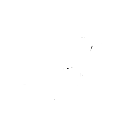 COc1ccc(C(=O)N2c3ccccc3[C@H](C(=O)O)C[C@@H]2C)cn1